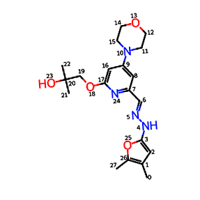 Cc1cc(NN=Cc2cc(N3CCOCC3)cc(OCC(C)(C)O)n2)oc1C